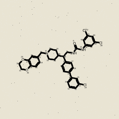 O=C(NCC(c1ccc(-c2cccc(Cl)c2)cc1)C1CCN(Cc2ccc3c(c2)OCCO3)CC1)Nc1cc(Cl)cc(Cl)c1